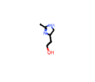 CC1=NC(CCO)CN1